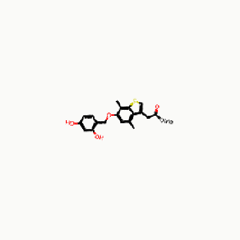 COC(=O)Cc1csc2c(C)c(OCc3ccc(O)cc3O)cc(C)c12